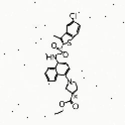 CCOC(=O)[C@@H]1CCN(c2ccc(NS(=O)(=O)c3sc4ccc(Cl)cc4c3C)c3ccccc23)C1